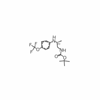 C[C@@H](CNC(=O)OC(C)(C)C)Nc1ccc(OC(F)(F)F)cc1